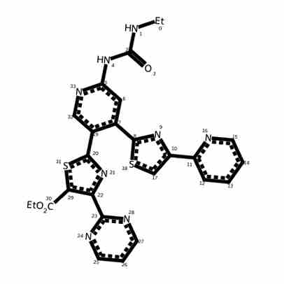 CCNC(=O)Nc1cc(-c2nc(-c3ccccn3)cs2)c(-c2nc(-c3ncccn3)c(C(=O)OCC)s2)cn1